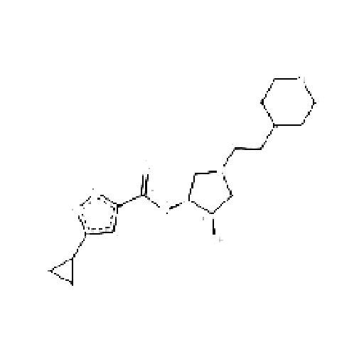 C[C@@H]1CN(CCC2CCNCC2)C[C@@H]1NC(=O)c1cc(C2CC2)on1